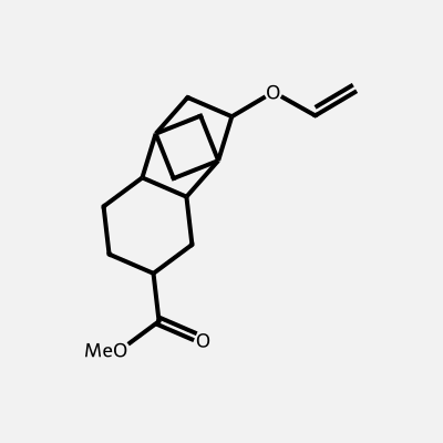 C=COC1CC23CC1(C2)C1CC(C(=O)OC)CCC13